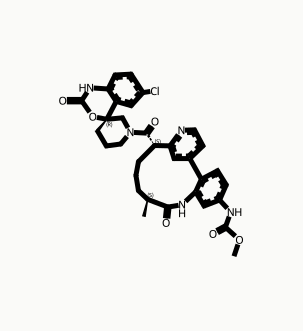 COC(=O)Nc1ccc2c(c1)NC(=O)[C@@H](C)CCC[C@H](C(=O)N1CCC[C@@]3(C1)OC(=O)Nc1ccc(Cl)cc13)c1cc-2ccn1